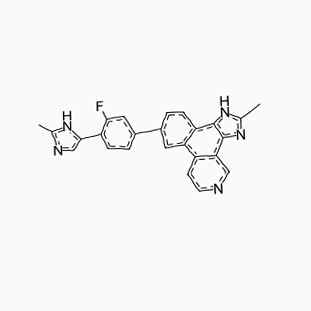 Cc1ncc(-c2ccc(-c3ccc4c(c3)c3ccncc3c3nc(C)[nH]c43)cc2F)[nH]1